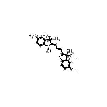 CCN1C(=CC=CC2=Nc3ccc(C)cc3C2(C)C)C(C)(C)c2cc(C)ccc21